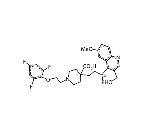 COc1ccc2ncc(CO)c([C@@H](F)CCC3(C(=O)O)CCN(CCOc4c(F)cc(F)cc4F)CC3)c2c1